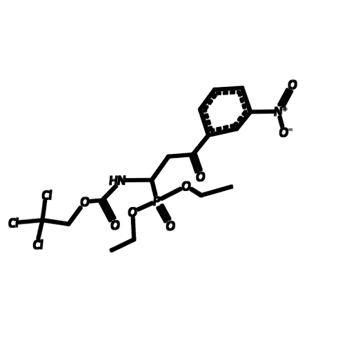 CCOP(=O)(OCC)C(CC(=O)c1cccc([N+](=O)[O-])c1)NC(=O)OCC(Cl)(Cl)Cl